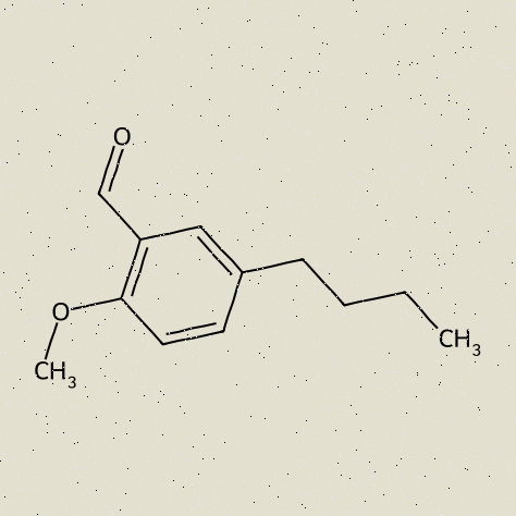 CCCCc1ccc(OC)c(C=O)c1